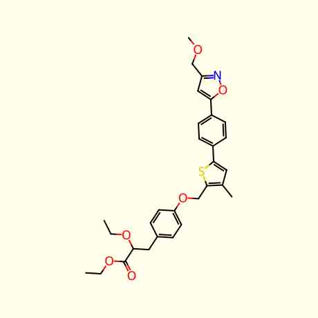 CCOC(=O)C(Cc1ccc(OCc2sc(-c3ccc(-c4cc(COC)no4)cc3)cc2C)cc1)OCC